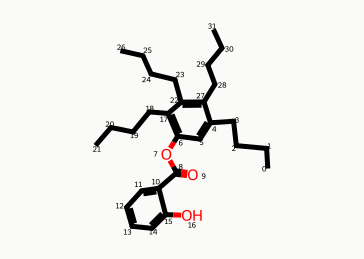 CCCCc1cc(OC(=O)c2ccccc2O)c(CCCC)c(CCCC)c1CCCC